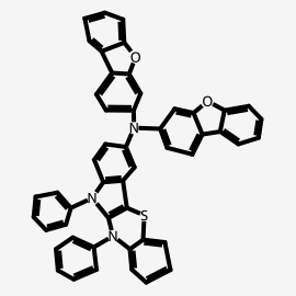 c1ccc(N2c3ccccc3Sc3c2n(-c2ccccc2)c2ccc(N(c4ccc5c(c4)oc4ccccc45)c4ccc5c(c4)oc4ccccc45)cc32)cc1